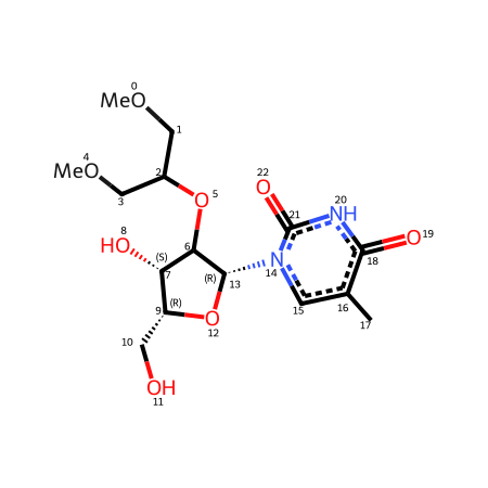 COCC(COC)OC1[C@@H](O)[C@@H](CO)O[C@H]1n1cc(C)c(=O)[nH]c1=O